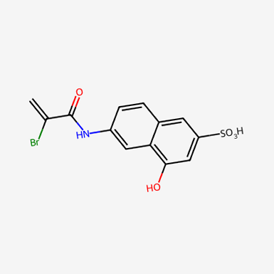 C=C(Br)C(=O)Nc1ccc2cc(S(=O)(=O)O)cc(O)c2c1